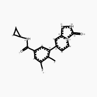 Cc1c(F)cc(C(=O)NC2CC2)cc1-c1ccn2c(=O)[nH]nc2c1